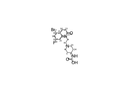 O=C(O)NC1CCN(CCn2c(=O)ccc3c(Br)cc(F)cc32)CC1